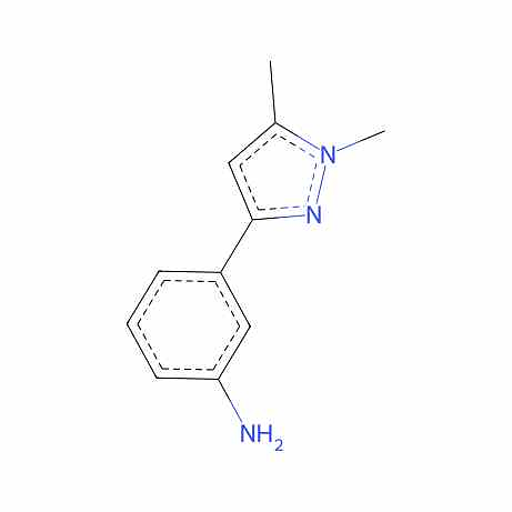 Cc1cc(-c2cccc(N)c2)nn1C